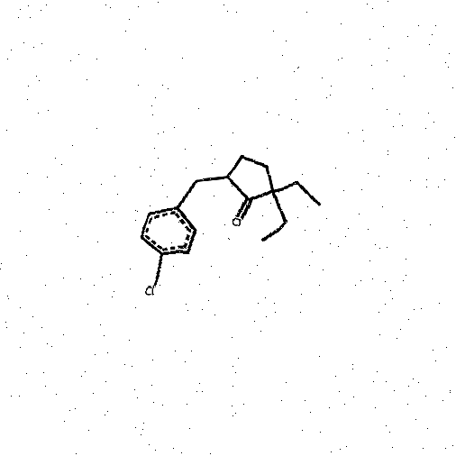 CCC1(CC)CCC(Cc2ccc(Cl)cc2)C1=O